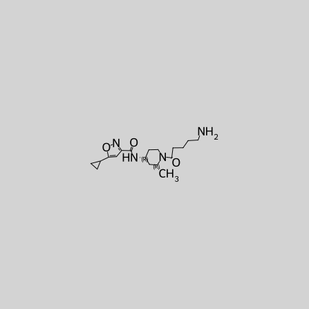 C[C@@H]1C[C@H](NC(=O)c2cc(C3CC3)on2)CCN1C(=O)CCCCN